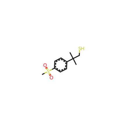 CC(C)(CS)c1ccc(S(C)(=O)=O)cc1